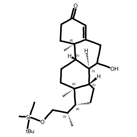 C[C@H](CO[Si](C)(C)C(C)(C)C)[C@H]1CC[C@H]2[C@@H]3C(O)CC4=CC(=O)CC[C@]4(C)[C@H]3CC[C@]12C